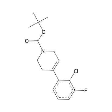 CC(C)(C)OC(=O)N1CC=C(c2cccc(F)c2Cl)CC1